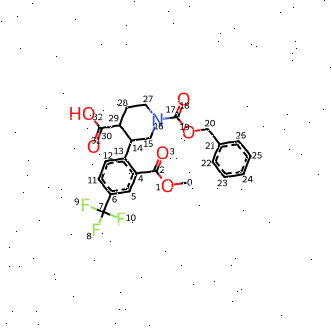 COC(=O)c1cc(C(F)(F)F)ccc1C1CN(C(=O)OCc2ccccc2)CCC1C(=O)O